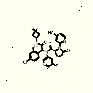 N#Cc1ccnc(N2C(=O)CC[C@H]2C(=O)N(c2cncc(F)c2)[C@H](C(=O)NC2CC(F)(F)C2)c2ccc(Cl)cc2Cl)c1